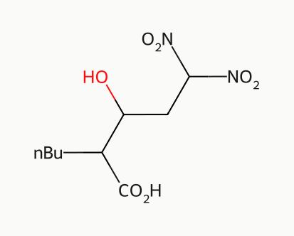 CCCCC(C(=O)O)C(O)CC([N+](=O)[O-])[N+](=O)[O-]